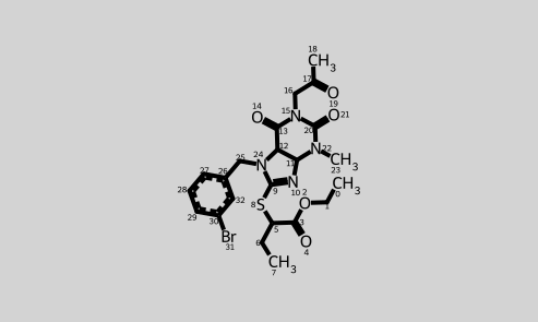 CCOC(=O)C(CC)SC1=NC2C(C(=O)N(CC(C)=O)C(=O)N2C)N1Cc1cccc(Br)c1